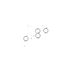 COc1cc2c(NC(=O)c3c(Br)ccc(C)c3OC(C)C)cccc2c(-c2ccccc2)c1OC